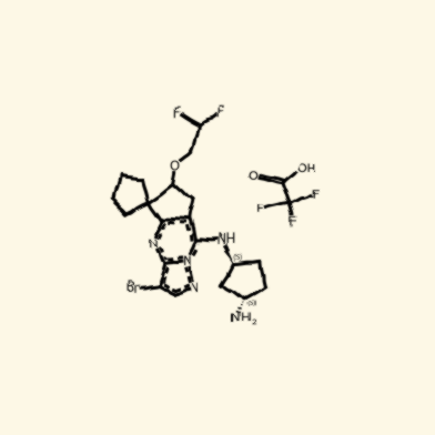 N[C@H]1CC[C@H](Nc2c3c(nc4c(Br)cnn24)C2(CCCC2)C(OCC(F)F)C3)C1.O=C(O)C(F)(F)F